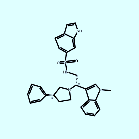 Cn1cc([C@@H](CNS(=O)(=O)c2ccc3cc[nH]c3c2)N2CC[C@@H](c3ccccc3)C2)c2ccccc21